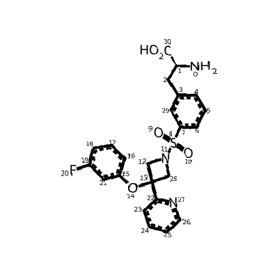 N[C@@H](Cc1cccc(S(=O)(=O)N2CC(Oc3cccc(F)c3)(c3ccccn3)C2)c1)C(=O)O